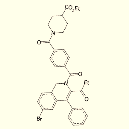 CCOC(=O)C1CCN(C(=O)c2ccc(C(=O)N3Cc4ccc(Br)cc4C(c4ccccc4)=C3C(=O)CC)cc2)CC1